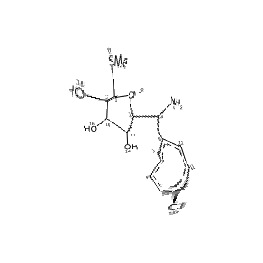 CSC1OC(C(N)c2ccc(Cl)cc2)C(O)C(O)C1O